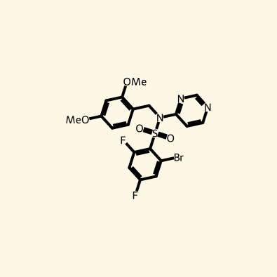 COc1ccc(CN(c2ccncn2)S(=O)(=O)c2c(F)cc(F)cc2Br)c(OC)c1